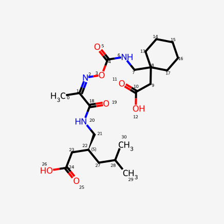 CC(=NOC(=O)NCC1(CC(=O)O)CCCCC1)C(=O)NC[C@H](CC(=O)O)CC(C)C